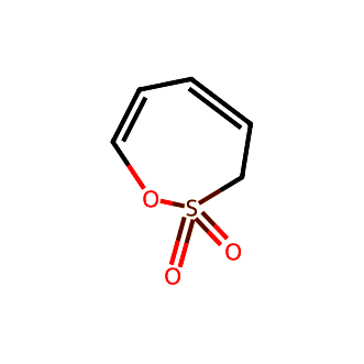 O=S1(=O)CC=CC=CO1